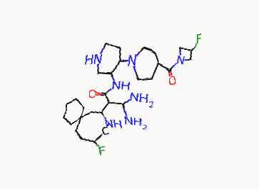 NC(N)C(C(=O)NC1CNCCC1N1CCC(C(=O)N2CC(F)C2)CC1)C1CC2(CCCCC2)CCC(F)CN1